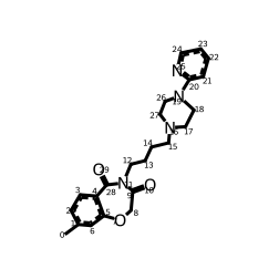 Cc1ccc2c(c1)OCC(=O)N(CCCCN1CCN(c3ccccn3)CC1)C2=O